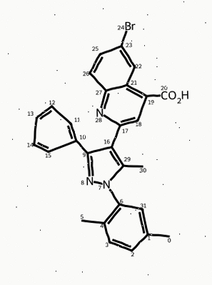 Cc1ccc(C)c(-n2nc(-c3ccccc3)c(-c3cc(C(=O)O)c4cc(Br)ccc4n3)c2C)c1